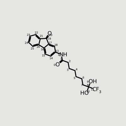 O=C(CCCCCCC(O)(O)C(F)(F)F)Nc1ccc2c(c1)C(=O)c1ccccc1-2